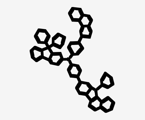 c1ccc(-n2c3cc(-c4ccc(N(c5ccc(-c6ccc7ccc8ccccc8c7c6)cc5)c5ccc6c(c5)C(c5ccccc5)(c5ccccc5)c5ccccc5-6)cc4)ccc3c3ccc4ccccc4c32)cc1